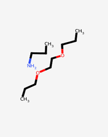 CCCN.CCCOCCOCCC